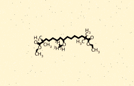 [2H]C([2H])([2H])OC(CCCCCC(C)(C)C(=O)OCC)CCCCCC(C)(C)C(=O)OCC